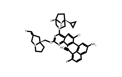 C#Cc1c(F)ccc2cc(N)cc(-c3c(Cl)cc4c(N5C[C@@H]6CC[C@](C7CC7)(C5)N6)nc(OC[C@@]56CCCN5C/C(=C\F)C6)nc4c3F)c12